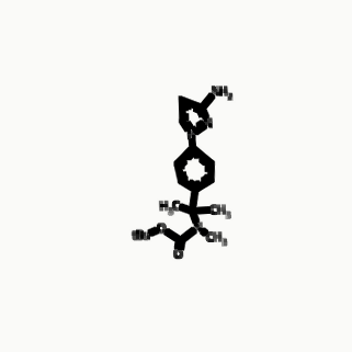 CN(C(=O)OC(C)(C)C)C(C)(C)c1ccc(-n2ccc(N)n2)cc1